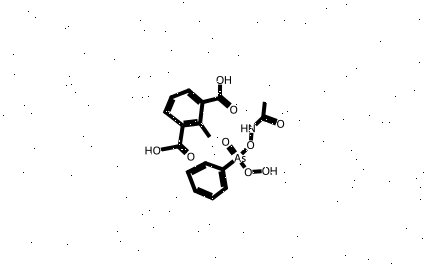 CC(=O)NO[As](=O)(OO)c1ccccc1.Cc1c(C(=O)O)cccc1C(=O)O